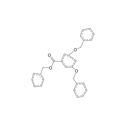 O=C(OCc1ccccc1)c1cc(OCc2ccccc2)cc(OCc2ccccc2)c1